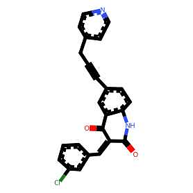 O=C1Nc2ccc(C#CCc3ccncc3)cc2C(=O)/C1=C\c1cccc(Cl)c1